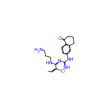 C/C=C(Cl)\C(=N/C(=N)Nc1ccc2c(c1)CCCC2=O)NCCCN